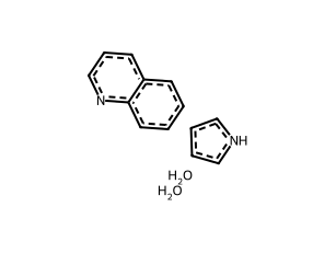 O.O.c1cc[nH]c1.c1ccc2ncccc2c1